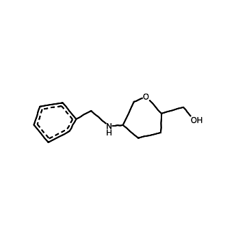 OCC1CCC(NCc2ccccc2)CO1